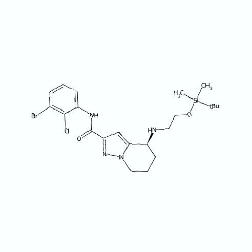 CC(C)(C)[Si](C)(C)OCCN[C@H]1CCCn2nc(C(=O)Nc3cccc(Br)c3Cl)cc21